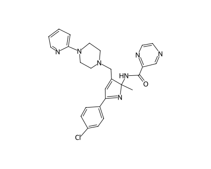 CC1(NC(=O)c2cnccn2)N=C(c2ccc(Cl)cc2)C=C1CN1CCN(c2ccccn2)CC1